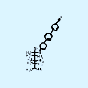 N#Cc1ccc(-c2ccc(C3CCC(NC(N)(N)C(N)(N)C(N)(N)C(N)(N)C(N)N)CC3)cc2)cc1